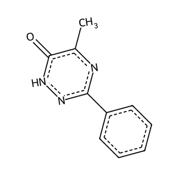 Cc1nc(-c2ccccc2)n[nH]c1=O